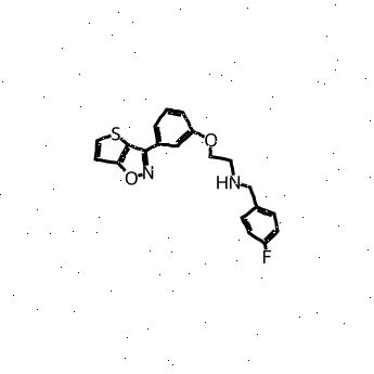 Fc1ccc(CNCCOc2cccc(-c3noc4ccsc34)c2)cc1